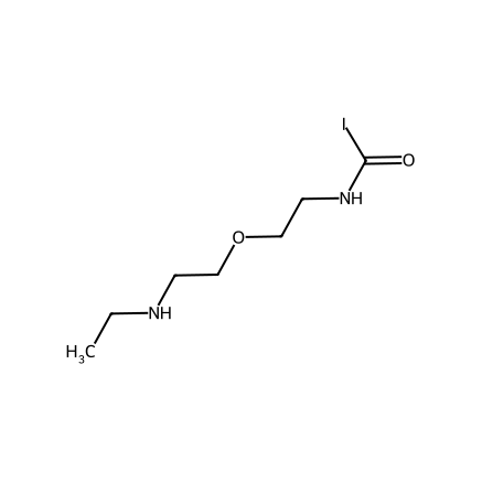 CCNCCOCCNC(=O)I